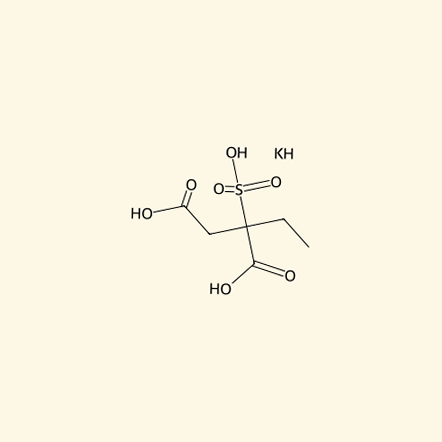 CCC(CC(=O)O)(C(=O)O)S(=O)(=O)O.[KH]